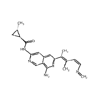 C=N/C=C\C(C)=C(/C)c1cc2cc(NC(=O)[C@H]3C[C@@H]3C)ncc2c(N)n1